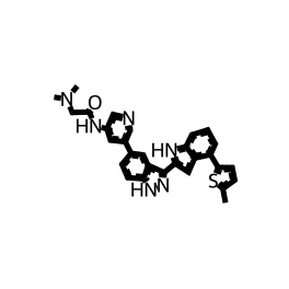 Cc1ccc(-c2cccc3[nH]c(-c4n[nH]c5ccc(-c6cncc(NC(=O)CN(C)C)c6)cc45)cc23)s1